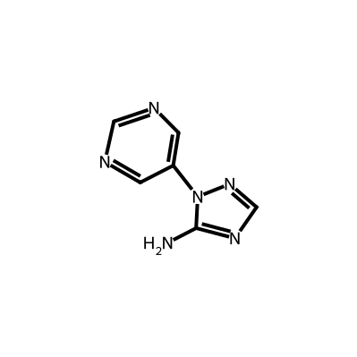 Nc1ncnn1-c1cncnc1